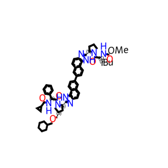 CC[C@H](C)[C@H](NC(=O)OC)C(=O)N1CCC[C@H]1c1nc2ccc3cc(-c4ccc5c(ccc6nc([C@@H]7C[C@H](COCC8CCCCC8)CN7C(=O)[C@H](NC(=O)C7CC7)c7ccccc7)[nH]c65)c4)ccc3c2[nH]1